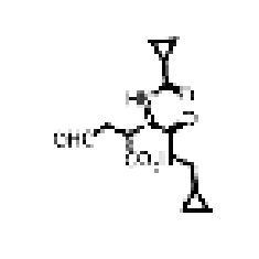 O=CCC(C(=O)O)N(NC(=O)C1CC1)C(=O)CCC1CC1